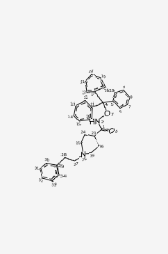 O=C(NOC(c1ccccc1)(c1ccccc1)c1ccccc1)C1CCN(CCc2ccccc2)CC1